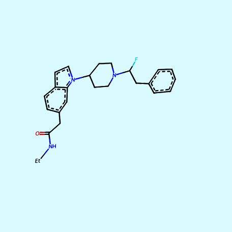 CCNC(=O)Cc1ccc2ccn(C3CCN(C(F)Cc4ccccc4)CC3)c2c1